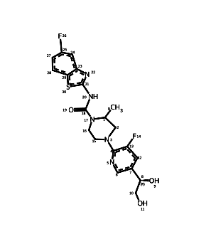 CC1CN(c2ncc([C@@H](O)CO)cc2F)CCN1C(=O)Nc1nc2cc(F)ccc2s1